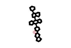 c1ccc(-c2ccc(-c3c4ccccc4c(-c4ccc5c(c4)oc4cc6ccccc6cc45)c4ccccc34)c3ccccc23)cc1